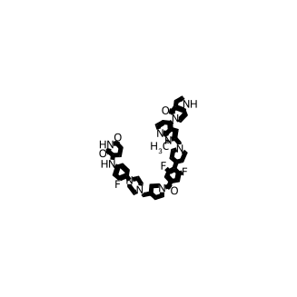 Cn1c(CN2CCC(c3c(F)cc(C(=O)N4CCC(CN5CCN(c6ccc(NC7CCC(=O)NC7=O)cc6F)CC5)CC4)cc3F)CC2)cc2c(-n3ccc4c(c3=O)CCN4)ccnc21